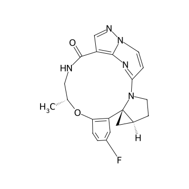 C[C@@H]1CNC(=O)c2cnn3ccc(nc23)N2CC[C@H]3C[C@]32c2cc(F)ccc2O1